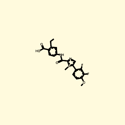 CCc1cc(NC(=O)c2ncc(-c3ccc(OC)c(F)c3F)n2C)ccc1C(=O)O